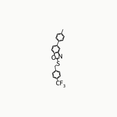 Cc1ccc(-c2ccc3oc(SCc4ccc(C(F)(F)F)cc4)nc3c2)cc1